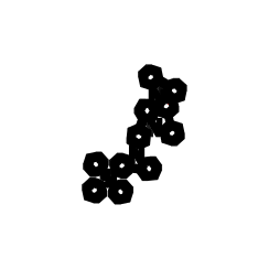 c1ccc(-c2ccccc2-n2c3cc(-n4c5ccccc5c5ccccc54)ccc3c3ccc(-n4c5ccccc5c5cc([Si](c6ccccc6)(c6ccccc6)c6ccccc6)ccc54)cc32)cc1